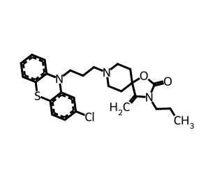 C=C1N(CCC)C(=O)OC12CCN(CCCN1c3ccccc3Sc3ccc(Cl)cc31)CC2